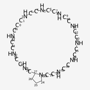 C1CNCCNCCNCCNCCNCCNCCNCCN2CCCC2CNCCNCCNC1